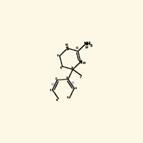 C/C=C\C(=C/C)C1(C)CCSC(N)=N1